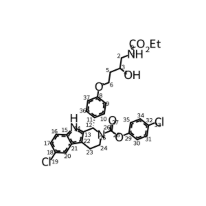 CCOC(=O)NCC(O)CCOc1ccc([C@H]2c3[nH]c4ccc(Cl)cc4c3CCN2C(=O)Oc2ccc(Cl)cc2)cc1